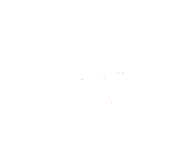 CC(C)=CC1(C=C(C)C)CC(=O)OC1=O